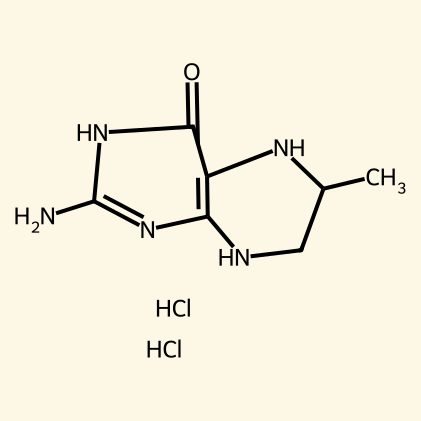 CC1CNc2nc(N)[nH]c(=O)c2N1.Cl.Cl